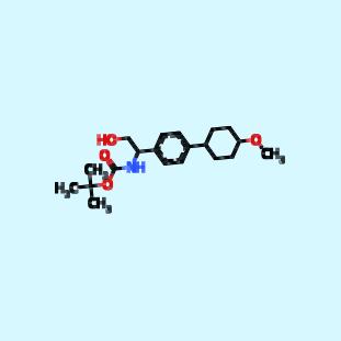 COC1CCC(c2ccc(C(CO)NC(=O)OC(C)(C)C)cc2)CC1